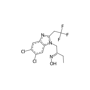 CCC(Cn1c(CC(F)(F)F)nc2cc(Cl)c(Cl)cc21)=NO